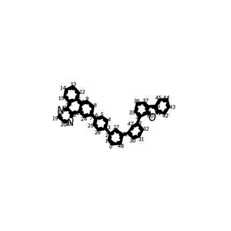 c1cc(-c2ccc(-c3ccc4c5ccccc5c5nccnc5c4c3)cc2)cc(-c2cccc(-c3cccc4c3oc3ccccc34)c2)c1